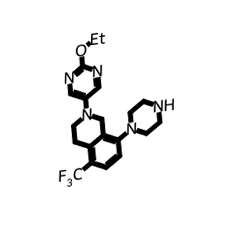 CCOc1ncc(N2CCc3c(C(F)(F)F)ccc(N4CCNCC4)c3C2)cn1